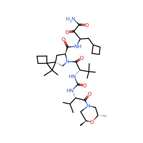 CC(C)[C@H](NC(=O)N[C@H](C(=O)N1C[C@]2(C[C@H]1C(=O)NC(CC1CCC1)C(=O)C(N)=O)C(C)(C)C21CCC1)C(C)(C)C)C(=O)N1C[C@H](C)O[C@@H](C)C1